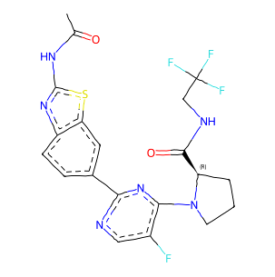 CC(=O)Nc1nc2ccc(-c3ncc(F)c(N4CCC[C@@H]4C(=O)NCC(F)(F)F)n3)cc2s1